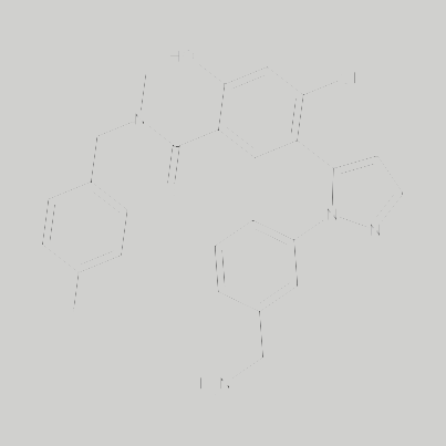 CN(Cc1ccc(F)cc1)C(=O)c1cc(-c2ccnn2-c2cccc(CN)c2)c(O)cc1O